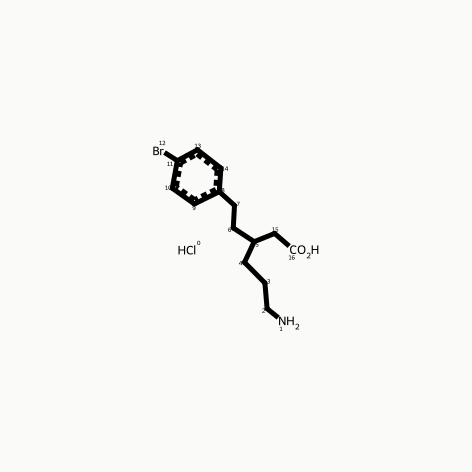 Cl.NCCCC(CCc1ccc(Br)cc1)CC(=O)O